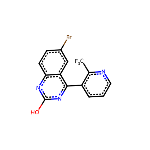 Oc1nc(-c2cccnc2C(F)(F)F)c2cc(Br)ccc2n1